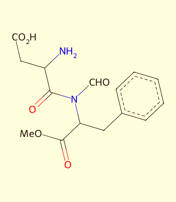 COC(=O)C(Cc1ccccc1)N(C=O)C(=O)C(N)CC(=O)O